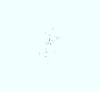 CC(=O)OC[C@@](C)(/C=C/C1CCCN1C(=O)N(Cc1ccc(C)cc1)NC(=O)[C@H](C)N)Cc1cccc(Cl)c1